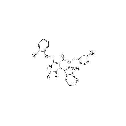 N#Cc1cccc(COC(=O)C2=C(COc3ccccc3C#N)NC(=O)NC2c2c[nH]c3ncccc23)c1